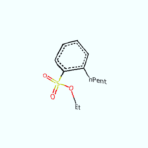 [CH2]COS(=O)(=O)c1ccccc1CCCCC